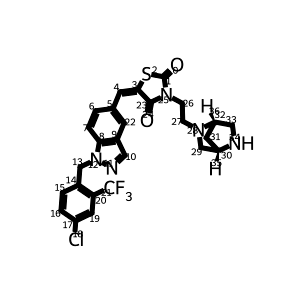 O=C1SC(=Cc2ccc3c(cnn3Cc3ccc(Cl)cc3C(F)(F)F)c2)C(=O)N1CCN1C[C@@H]2C[C@H]1CN2